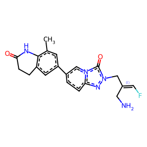 Cc1cc(-c2ccc3nn(C/C(=C/F)CN)c(=O)n3c2)cc2c1NC(=O)CC2